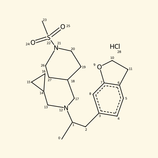 CC(Cc1ccc2c(c1)OCC2)N(CC1CC1)CC1CCN(S(C)(=O)=O)CC1.Cl